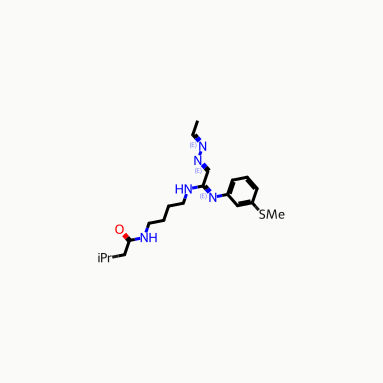 C/C=N/N=C/C(=N\c1cccc(SC)c1)NCCCCNC(=O)CC(C)C